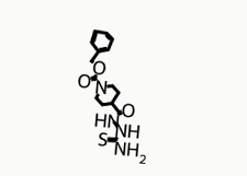 NC(=S)NNC(=O)C1CCN(C(=O)OCc2ccccc2)CC1